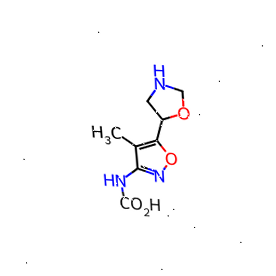 Cc1c(NC(=O)O)noc1C1CNCO1